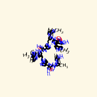 Cc1cc(Nc2cnc(-c3ccnc4c3ccn4CCc3cc(Nc4cnc(-c5ccnc6c5ccn6CCc5cc(Nc6cnc(-c7ccnc8c7ccn8C)c7c6C(=O)NC7)nc(N6CC[C@@H]7CN(C)C[C@@H]76)c5)c5c4C(=O)NC5)nc(N4CC[C@H]5CN(C)C[C@H]54)c3)c3c2C(=O)NC3)nc(N2CC[C@@H]3CNC[C@@H]32)c1